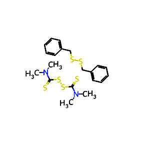 CN(C)C(=S)SSC(=S)N(C)C.c1ccc(CSSCc2ccccc2)cc1